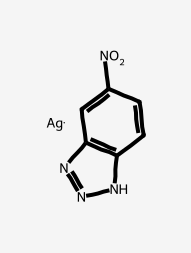 O=[N+]([O-])c1ccc2[nH]nnc2c1.[Ag]